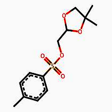 Cc1ccc(S(=O)(=O)OCC2OCC(C)(C)O2)cc1